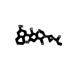 C=CC(=O)N1CC(n2cnc3c(Cl)c(-c4cc(O)cc5ccccc45)c(O)cc3c2=O)C1